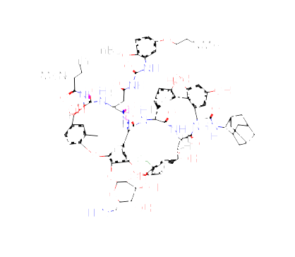 CCCCOc1ccc(OCCNC)cc1NC(=O)NC(=O)C[C@@H]1NC(=O)[C@H](NC(=O)[C@@H](CC(C)C)NC)[C@H](O)c2ccc(c(C)c2)Oc2cc3cc(c2O[C@@H]2O[C@H](CN)[C@@H](O)[C@H](O)[C@H]2O)Oc2ccc(cc2Cl)[C@@H](O)[C@@H]2NC(=O)[C@H](NC(=O)[C@@H]3NC1=O)c1ccc(O)c(c1)-c1c(O)cc(O)cc1[C@@H](C(=O)NC1C3CC4CC(C3)CC1C4)NC2=O